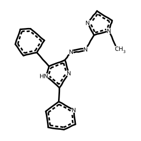 Cn1ccnc1N=Nc1nc(-c2ccccn2)[nH]c1-c1ccccc1